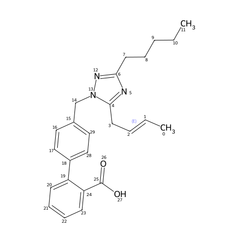 C/C=C/Cc1nc(CCCCC)nn1Cc1ccc(-c2ccccc2C(=O)O)cc1